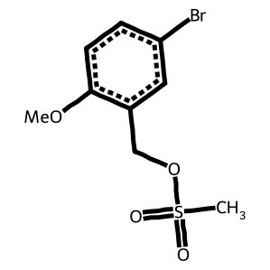 COc1ccc(Br)cc1COS(C)(=O)=O